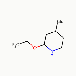 CC(C)(C)C1CCNC(OCC(F)(F)F)C1